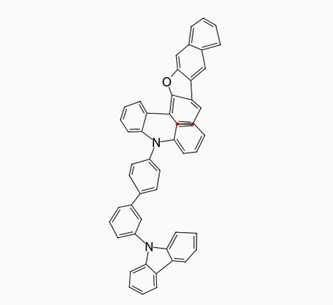 c1ccc(N(c2ccc(-c3cccc(-n4c5ccccc5c5ccccc54)c3)cc2)c2ccccc2-c2cccc3c2oc2cc4ccccc4cc23)cc1